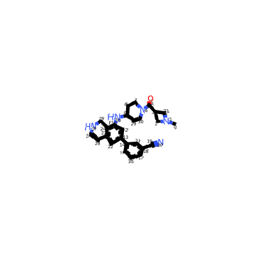 CN1CC(C(=O)N2CCC(Nc3cc(-c4cccc(C#N)c4)cc4c3CNC=C4)CC2)C1